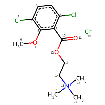 COc1c(Cl)ccc(Cl)c1C(=O)OCC[N+](C)(C)C.[Cl-]